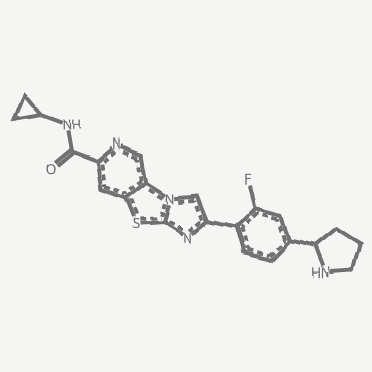 O=C(NC1CC1)c1cc2sc3nc(-c4ccc(C5CCCN5)cc4F)cn3c2cn1